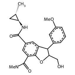 CNC(=O)c1cc(C(=O)N[C@H]2C[C@@H]2C)cc2c1OC(CO)C2c1cccc(OC)c1